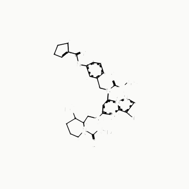 CC(C)c1cnn2c(N(Cc3cccc(NC(=O)C4=CCCC4)c3)C(=O)OC(C)(C)C)cc(NCC3C(O)CCCN3C(=O)OC(C)(C)C)nc12